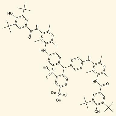 Cc1cc(C)c(Nc2ccc(C(c3ccc(Nc4c(C)cc(C)c(NC(=O)c5cc(C(C)(C)C)c(O)c(C(C)(C)C)c5)c4C)cc3)c3ccc(S(=O)(=O)O)cc3S(=O)(=O)O)cc2)c(C)c1NC(=O)c1cc(C(C)(C)C)c(O)c(C(C)(C)C)c1